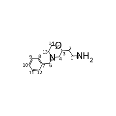 NCCC1CN(Cc2ccccc2)CCO1